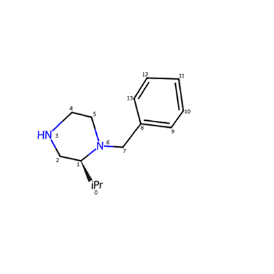 CC(C)[C@H]1CNCCN1Cc1ccccc1